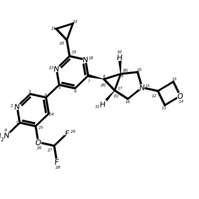 Nc1ncc(-c2cc([C@H]3[C@@H]4CN(C5COC5)C[C@@H]43)nc(C3CC3)n2)cc1OC(F)F